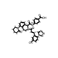 O=C(O)c1ccc(NC(=O)C2c3cccc(N4CCCCC4=O)c3CCN2C(=O)C=Cc2cc(Cl)ccc2-n2cnnn2)cc1